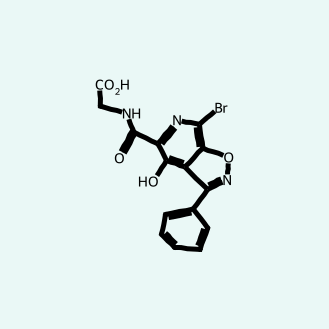 O=C(O)CNC(=O)c1nc(Br)c2onc(-c3ccccc3)c2c1O